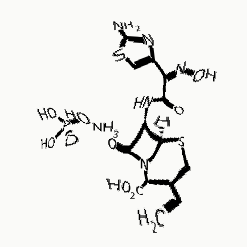 C=CC1=C(C(=O)O)N2C(=O)[C@@H](NC(=O)/C(=N\O)c3csc(N)n3)[C@H]2SC1.N.O=P(O)(O)O